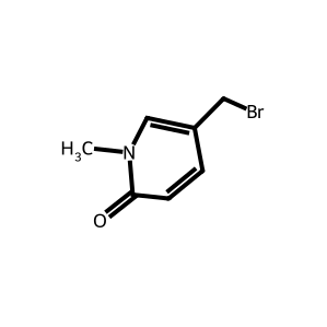 Cn1cc(CBr)ccc1=O